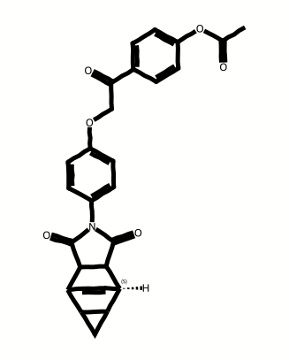 CC(=O)Oc1ccc(C(=O)COc2ccc(N3C(=O)C4C5C=C[C@H](C6CC56)C4C3=O)cc2)cc1